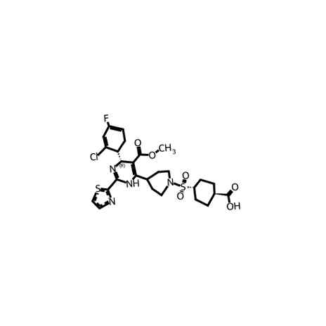 COC(=O)C1=C(C2CCN(S(=O)(=O)[C@H]3CC[C@H](C(=O)O)CC3)CC2)NC(c2nccs2)=N[C@@H]1C1CC=C(F)C=C1Cl